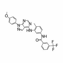 COc1ccc(-n2ncc3c(Nc4cc(NC(=O)c5cccc(C(F)(F)F)c5)ccc4C)ncnc32)cc1